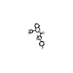 Cn1cc(C2CN(C(=O)c3cn(-c4ccc(F)cc4)nn3)Cc3ccccc32)cn1